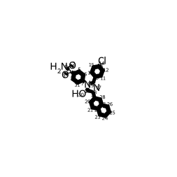 NS(=O)(=O)c1ccc(N2C(c3ccc(Cl)cc3)=NC(c3ccc4ccccc4c3)C2O)cc1